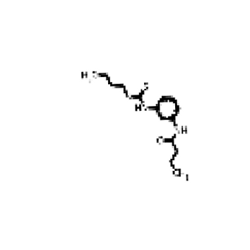 CCCCSC(=S)Nc1cccc(NC(=O)CCC)c1